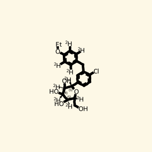 [2H]c1c([2H])c(OCC)c([2H])c([2H])c1Cc1cc([C@]2([2H])O[C@]([2H])(CO)[C@@]([2H])(O)[C@]([2H])(O)[C@@]2([2H])O)ccc1Cl